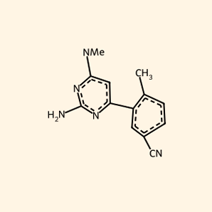 CNc1cc(-c2cc(C#N)ccc2C)nc(N)n1